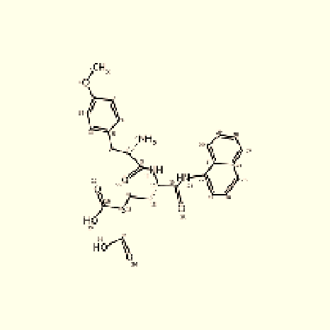 COc1ccc(C[C@H](N)C(=O)N[C@@H](CCSC(=O)O)C(=O)Nc2cccc3ccccc23)cc1.O=CO